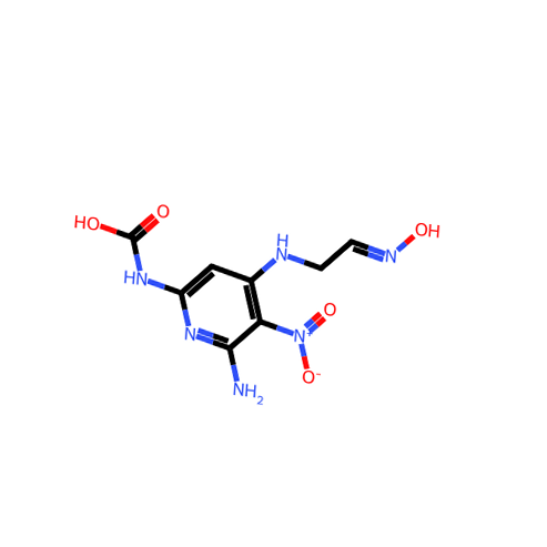 Nc1nc(NC(=O)O)cc(NCC=NO)c1[N+](=O)[O-]